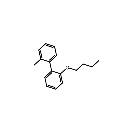 CCCCOc1ccccc1-c1ccccc1C